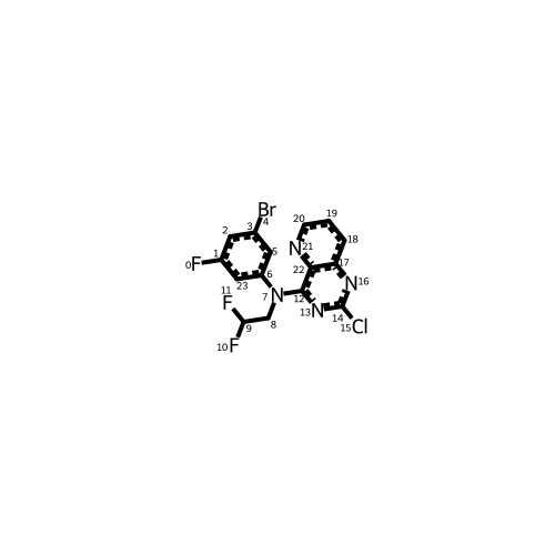 Fc1cc(Br)cc(N(CC(F)F)c2nc(Cl)nc3cccnc23)c1